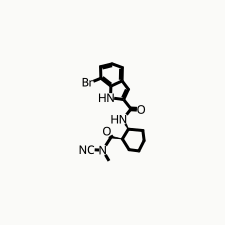 CN(C#N)C(=O)[C@@H]1CCCC[C@@H]1NC(=O)c1cc2cccc(Br)c2[nH]1